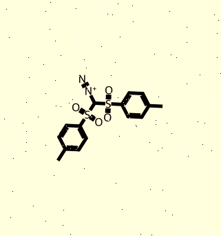 Cc1ccc(S(=O)(=O)C([N+]#N)S(=O)(=O)c2ccc(C)cc2)cc1